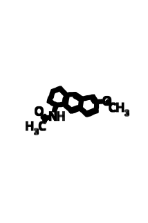 COc1ccc2cc3c(cc2c1)CCCC3NC(C)=O